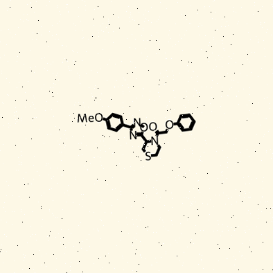 COc1ccc(-c2noc(C3CSCCN3C(=O)COc3ccccc3)n2)cc1